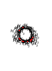 C/C=C/C[C@@H](C)[C@@H](O)[C@H]1C(=O)N[C@@H](CC)C(=O)N(C)CC(=O)N(C)[C@@H](C)C(O)N[C@@H](C(C)(C)C)C(=O)N(C)[C@@H](C)C(=O)NC(CC(C)C)C(=O)N[C@H](C)C(=O)N(C)[C@@H](CC(C)C)C(=O)N(C)[C@H](CC(C)C)C(=O)N(C)[C@@H](C(C)C)C(=O)N1C